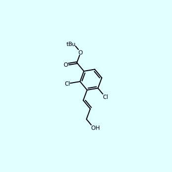 CC(C)(C)OC(=O)c1ccc(Cl)c(/C=C/CO)c1Cl